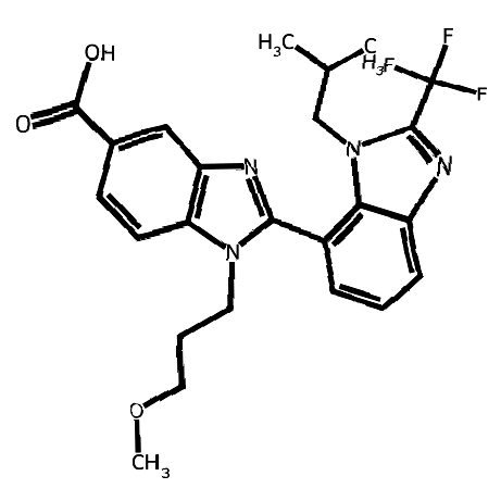 COCCCn1c(-c2cccc3nc(C(F)(F)F)n(CC(C)C)c23)nc2cc(C(=O)O)ccc21